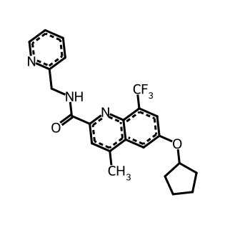 Cc1cc(C(=O)NCc2ccccn2)nc2c(C(F)(F)F)cc(OC3CCCC3)cc12